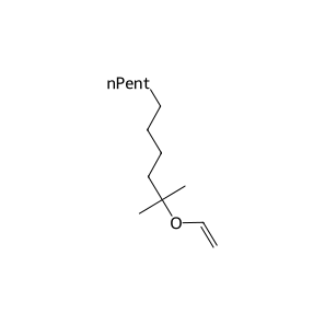 C=COC(C)(C)CCCCCCCCC